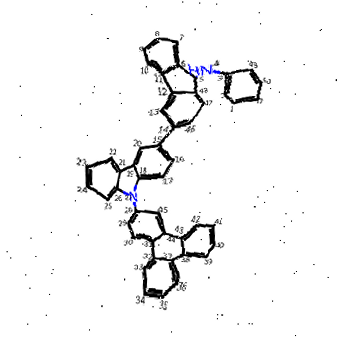 c1ccc(NC2c3ccccc3-c3cc(-c4ccc5c(c4)c4ccccc4n5-c4ccc5c6ccccc6c6ccccc6c5c4)ccc32)cc1